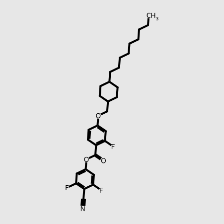 CCCCCCCCCC1CCC(COc2ccc(C(=O)Oc3cc(F)c(C#N)c(F)c3)c(F)c2)CC1